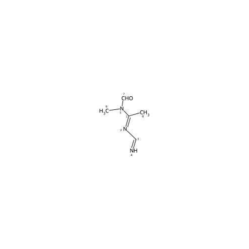 C/C(=N\C=N)N(C)C=O